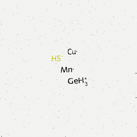 [Cu].[GeH3+].[Mn].[SH-]